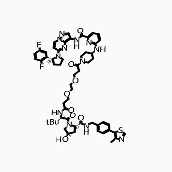 Cc1ncsc1-c1ccc(CNC(=O)[C@@H]2C[C@@H](O)CN2C(=O)[C@@H](NC(=O)CCOCCOCCC(=O)N2CCC(Nc3cccc(C(=O)Nc4cnn5ccc(N6CCC[C@@H]6c6cc(F)ccc6F)nc45)n3)CC2)C(C)(C)C)cc1